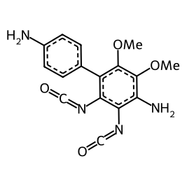 COc1c(N)c(N=C=O)c(N=C=O)c(-c2ccc(N)cc2)c1OC